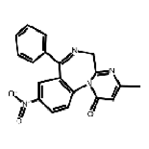 Cc1cc(=O)n2c(n1)CN=C(c1ccccc1)c1cc([N+](=O)[O-])ccc1-2